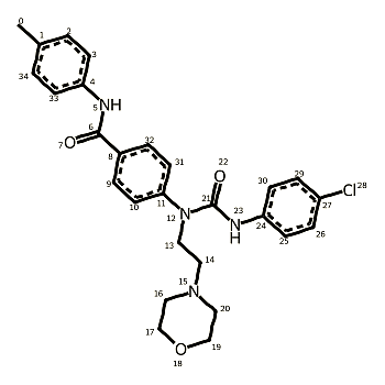 Cc1ccc(NC(=O)c2ccc(N(CCN3CCOCC3)C(=O)Nc3ccc(Cl)cc3)cc2)cc1